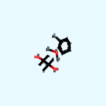 CC(=O)c1ccccc1.CC(C)(O)C(C)(C)O.CCOCC